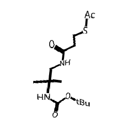 CC(=O)SCCC(=O)NCC(C)(C)NC(=O)OC(C)(C)C